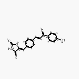 O=C1NC(=O)/C(=C/c2ccc(/C=C/C(=O)c3ccc(O)cc3)cc2)S1